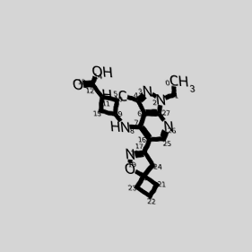 CCn1nc(C)c2c(NC3CC(C(=O)O)C3)c(C3=NOC4(CCC4)C3)cnc21